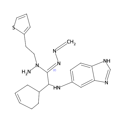 C=N/N=C(/C(Nc1ccc2[nH]cnc2c1)C1CC=CCC1)N(N)CCc1cccs1